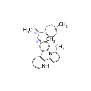 C=c1ccc(C2=C(c3cccc(C)n3)NC=CC=C2)c/c1=C/C(=C\C)C1=CCC=C(C)CC1